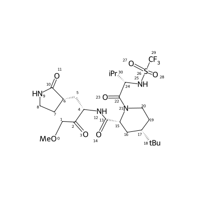 COCC(=O)[C@H](C[C@@H]1CCNC1=O)NC(=O)[C@H]1C[C@@H](C(C)(C)C)CCN1C(=O)[C@@H](NS(=O)(=O)C(F)(F)F)C(C)C